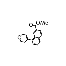 COC(=O)c1ccc2cccc(C3=CCOCC3)c2c1